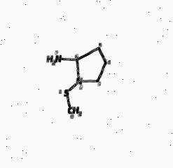 CSN1CCCC1N